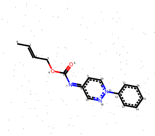 C/C=C/COC(=O)/N=c1\ccn(-c2ccccc2)nc1